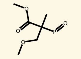 COCC(C)(P=O)C(=O)OC